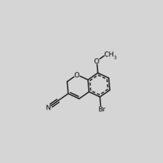 COc1ccc(Br)c2c1OCC(C#N)=C2